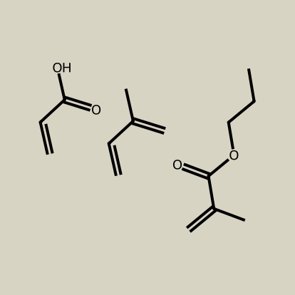 C=C(C)C(=O)OCCC.C=CC(=C)C.C=CC(=O)O